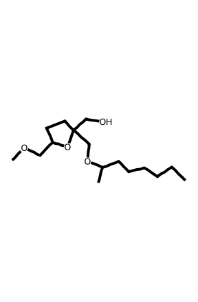 CCCCCCC(C)OCC1(CO)CCC(COC)O1